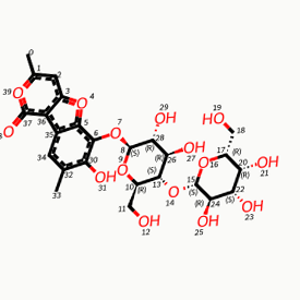 Cc1cc2oc3c(O[C@@H]4O[C@H](CO)[C@@H](O[C@@H]5O[C@H](CO)[C@H](O)[C@H](O)[C@H]5O)[C@H](O)[C@H]4O)c(O)c(C)cc3c2c(=O)o1